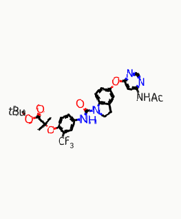 CC(=O)Nc1cc(Oc2ccc3c(c2)CCN3C(=O)Nc2ccc(OC(C)(C)C(=O)OC(C)(C)C)c(C(F)(F)F)c2)ncn1